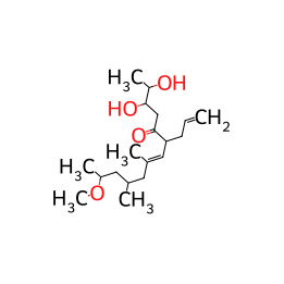 C=CCC(/C=C(\C)CC(C)CC(C)OC)C(=O)CC(O)C(C)O